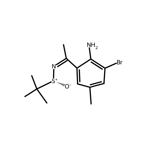 C/C(=N/[S@+]([O-])C(C)(C)C)c1cc(C)cc(Br)c1N